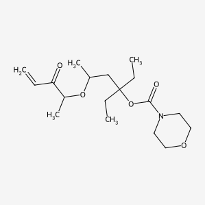 C=CC(=O)C(C)OC(C)CC(CC)(CC)OC(=O)N1CCOCC1